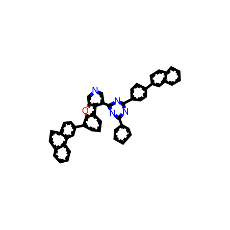 c1ccc(-c2nc(-c3ccc(-c4ccc5ccccc5c4)cc3)nc(-c3cncc4oc5c(-c6ccc7ccc8ccccc8c7c6)cccc5c34)n2)cc1